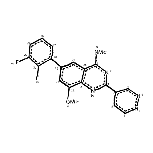 CNc1nc(-c2ccnnc2)nc2c(OC)cc(-c3cccc(F)c3F)cc12